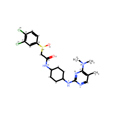 Cc1cnc(NC2CCC(NC(=O)C[S+]([O-])c3ccc(Cl)c(Cl)c3)CC2)nc1N(C)C